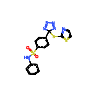 O=S(=O)(Nc1ccccc1)c1ccc(C2(Sc3nccs3)N=NN=N2)cc1